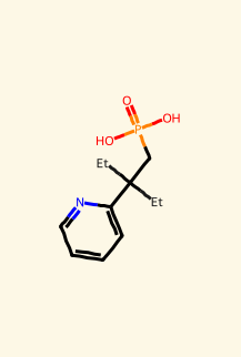 CCC(CC)(CP(=O)(O)O)c1ccccn1